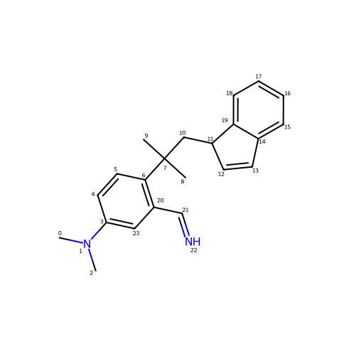 CN(C)c1ccc(C(C)(C)CC2C=Cc3ccccc32)c(C=N)c1